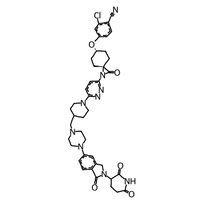 N#Cc1ccc(O[C@H]2CC[C@@]3(CC2)C(=O)N3c2ccc(N3CCC(CN4CCN(c5ccc6c(c5)CN(C5CCC(=O)NC5=O)C6=O)CC4)CC3)nn2)cc1Cl